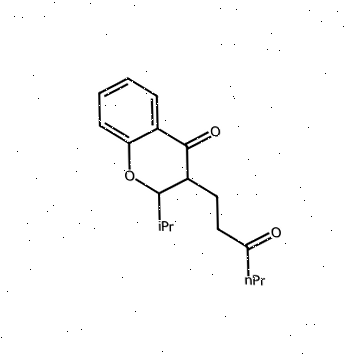 CCCC(=O)CCC1C(=O)c2ccccc2OC1C(C)C